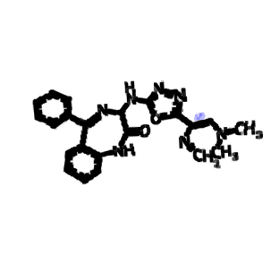 C=N/C(=C\N(C)C)c1nnc(NC2N=C(c3ccccc3)c3ccccc3NC2=O)o1